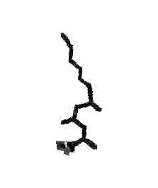 CCCCCCC(C)CC(C)CC(C)N